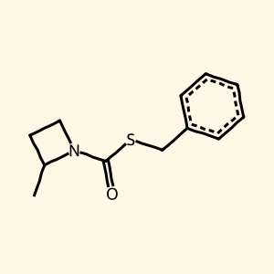 CC1CCN1C(=O)SCc1ccccc1